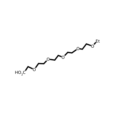 CCOCCOCCOCCOCCOCC(=O)O